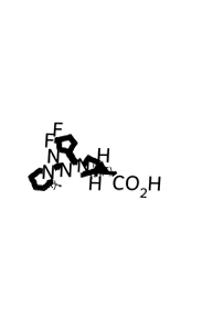 C[C@@H]1CCCCN1c1nc(N2C[C@@H]3[C@@H](CC(=O)O)[C@@H]3C2)c2c(n1)C(F)(F)CC2